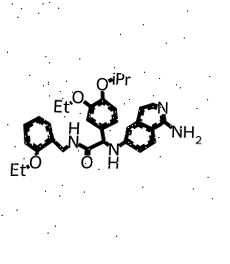 CCOc1ccccc1CNC(=O)C(Nc1ccc2c(N)nccc2c1)c1ccc(OC(C)C)c(OCC)c1